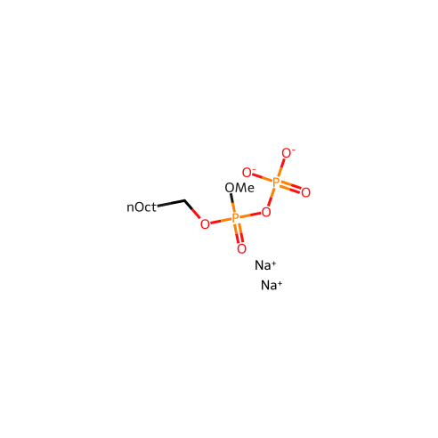 CCCCCCCCCOP(=O)(OC)OP(=O)([O-])[O-].[Na+].[Na+]